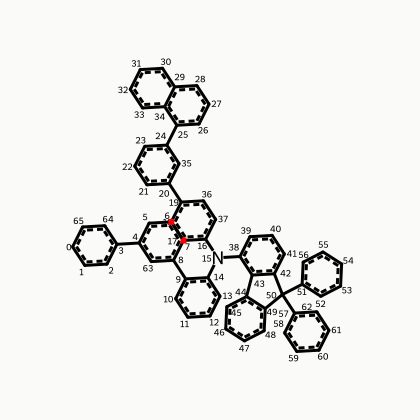 c1ccc(-c2cccc(-c3ccccc3N(c3ccc(-c4cccc(-c5cccc6ccccc56)c4)cc3)c3cccc4c3-c3ccccc3C4(c3ccccc3)c3ccccc3)c2)cc1